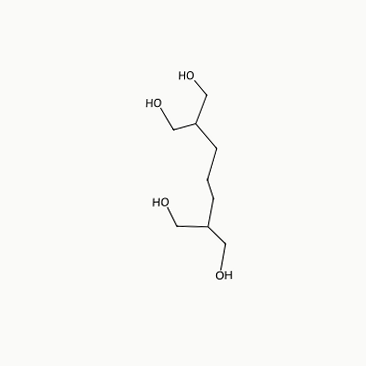 OCC(CO)CCCC(CO)CO